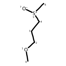 COCCC[S+](C)[O-]